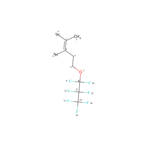 [3H]C(C)=C([3H])CCOC(F)(F)C(F)(F)C(F)(F)F